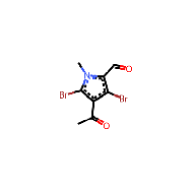 CC(=O)c1c(Br)c(C=O)n(C)c1Br